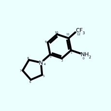 Nc1cc(N2CCCC2)ccc1C(F)(F)F